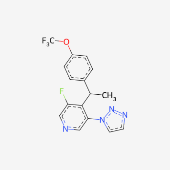 CC(c1ccc(OC(F)(F)F)cc1)c1c(F)cncc1-n1ccnn1